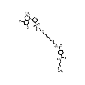 CCOCCNC(=O)c1ccc(C(=O)NCCOCCOCCOCCNS(=O)(=O)c2cccc(C3CN(C)Cc4c(Cl)cc(Cl)cc43)c2)cc1